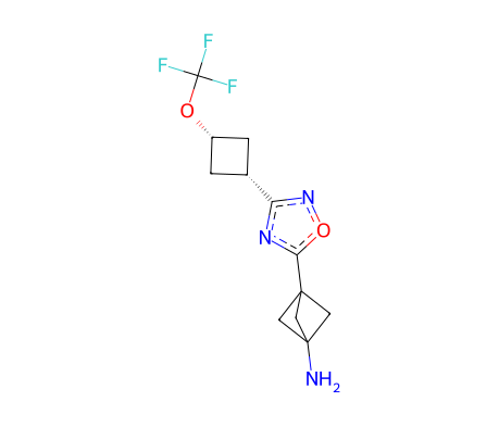 NC12CC(c3nc([C@H]4C[C@@H](OC(F)(F)F)C4)no3)(C1)C2